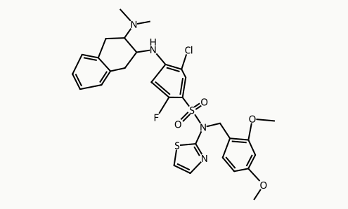 COc1ccc(CN(c2nccs2)S(=O)(=O)c2cc(Cl)c(NC3Cc4ccccc4CC3N(C)C)cc2F)c(OC)c1